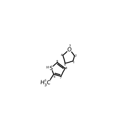 C1CCOC1.Cc1cccs1